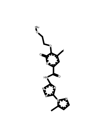 Cc1ccnn1-c1nnc(NC(=O)c2cc(I)c(OCCOC(C)(C)C)c(=O)o2)s1